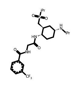 CC(C)N[C@@H]1CC[C@H](NC(=O)CNC(=O)c2cccc(C(F)(F)F)c2)[C@@H](CS(=O)(=O)C(C)C)C1